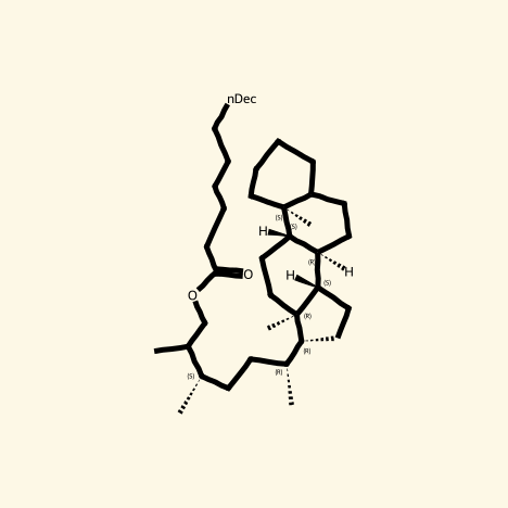 CCCCCCCCCCCCCCCC(=O)OCC(C)[C@@H](C)CC[C@@H](C)[C@H]1CC[C@H]2[C@@H]3CCC4CCCC[C@]4(C)[C@H]3CC[C@]12C